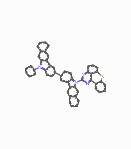 c1ccc(-n2c3ccc(-c4ccc5c(c4)c4cc6ccccc6cc4n5-c4nc5c6c(cccc6n4)Sc4ccccc4-5)cc3c3cc4ccccc4cc32)cc1